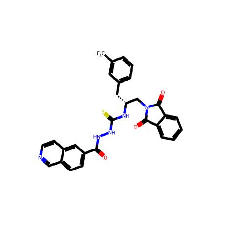 O=C(NNC(=S)N[C@H](Cc1cccc(C(F)(F)F)c1)CN1C(=O)c2ccccc2C1=O)c1ccc2cnccc2c1